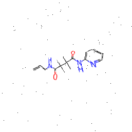 C=CCNC(=O)C(C)(C)C(C)(C)C(=O)Nc1ccccn1